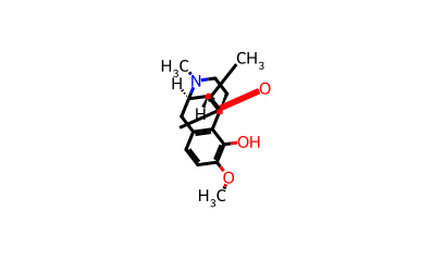 COc1ccc2c(c1O)[C@]13CCN(C)[C@H](C2)[C@@H]1C=C(C)C(=O)C3